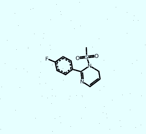 CS(=O)(=O)N1CC=CN=C1c1ccc(F)cc1